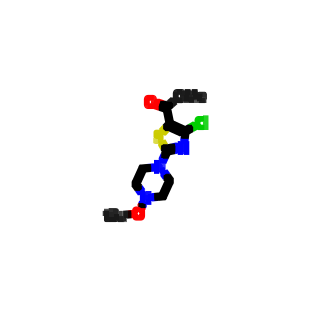 COC(=O)c1sc(N2CCN(OC(C)(C)C)CC2)nc1Cl